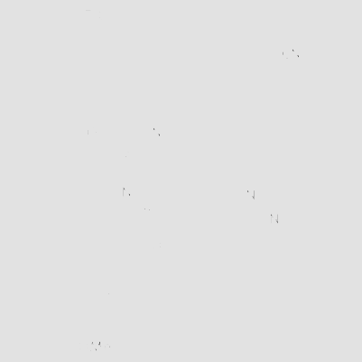 COc1ccc(Cn2c(=O)c(-c3ccnn3-c3ccc(C#N)cc3)c(C)n(-c3cccc(C(F)(F)F)c3)c2=O)cc1